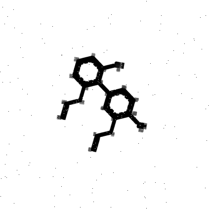 C=CCc1cc(-c2c(O)cccc2CC=C)ccc1O